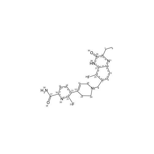 CCc1nc2ccc(CN3CC=C(c4ccc(C(N)=O)nc4F)CC3)c(F)c2[nH]c1=O